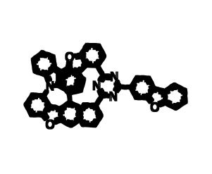 c1ccc(-c2nc(-c3ccc4c(c3)oc3ccccc34)nc(-c3cccc4oc5ccc(-c6cccc7oc8cccc(-n9c%10ccccc%10c%10ccccc%109)c8c67)cc5c34)n2)cc1